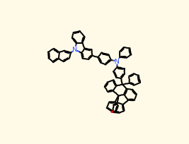 c1ccc(N(c2ccc(-c3ccc4c(c3)c3ccccc3n4-c3ccc4ccccc4c3)cc2)c2ccc(C3(c4ccccc4)c4ccccc4C4(c5ccccc5)c5ccccc5-c5cccc3c54)cc2)cc1